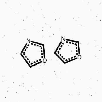 c1cocn1.c1cocn1